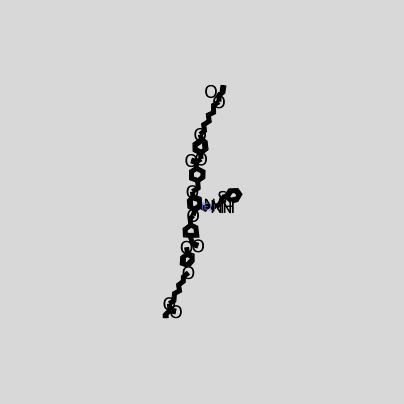 C=CC(=O)OCCCCCCOc1ccc(OC(=O)C2CCC(COc3ccc(OCC4CCC(C(=O)Oc5ccc(OCCCCCCOC(=O)C=C)cc5)CC4)c(/C=N/Nc4nc5ccccc5s4)c3)CC2)cc1